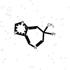 CC(C)C1(C)C=NC=c2scnc2=C1